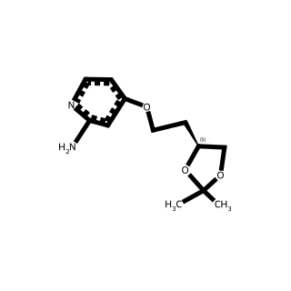 CC1(C)OC[C@H](CCOc2ccnc(N)c2)O1